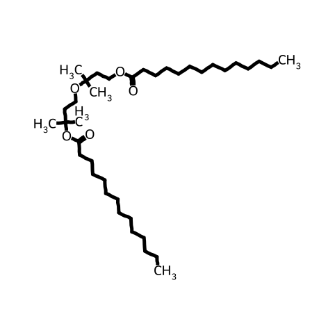 CCCCCCCCCCCCCC(=O)OCCC(C)(C)OCCC(C)(C)OC(=O)CCCCCCCCCCCCC